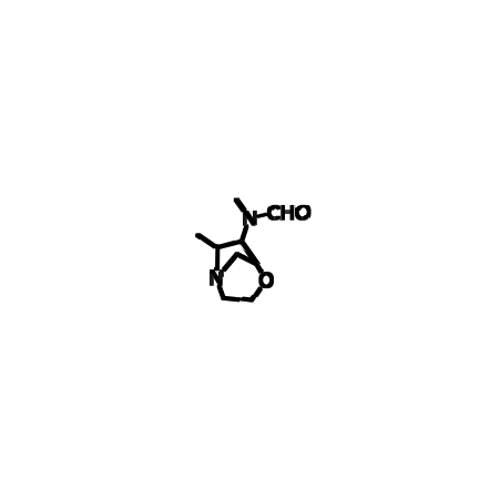 CC1C(N(C)C=O)C2CN1CCO2